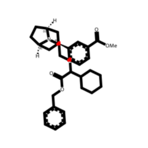 COC(=O)c1cccc([C@H]2C[C@H]3CC[C@@H](C2)N3CCNC(C(=O)OCc2ccccc2)C2CCCCC2)c1